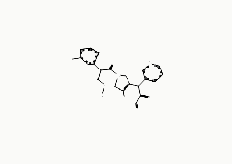 C=CC(=C)C(C1=C(C)CN(C(=O)C(CCN)c2cccc(F)c2)C1)c1cccnc1